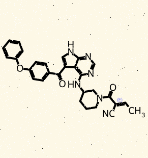 C/C=C(\C#N)C(=O)N1CCCC(Nc2ncnc3[nH]cc(C(=O)c4ccc(Oc5ccccc5)cc4)c23)C1